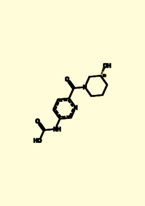 O=C(O)Nc1ccc(C(=O)N2CCC[C@@H](O)C2)nc1